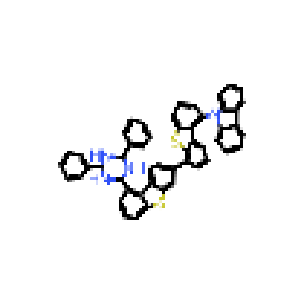 c1ccc(C2NC(c3ccccc3)NC(c3cccc4sc5cc(-c6cccc7c6sc6cccc(-n8c9ccccc9c9ccccc98)c67)ccc5c34)N2)cc1